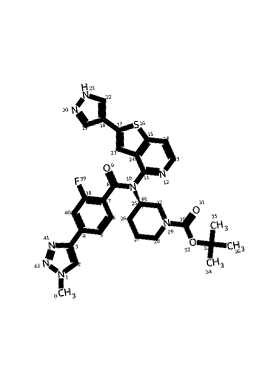 Cn1cc(-c2ccc(C(=O)N(c3nccc4sc(-c5cn[nH]c5)cc34)[C@@H]3CCCN(C(=O)OC(C)(C)C)C3)c(F)c2)nn1